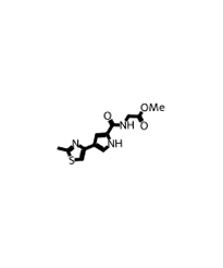 COC(=O)CNC(=O)c1cc(-c2csc(C)n2)c[nH]1